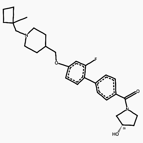 CC1(CN2CCC(COc3ccc(-c4ccc(C(=O)N5CC[C@H](O)C5)cc4)c(F)c3)CC2)CCC1